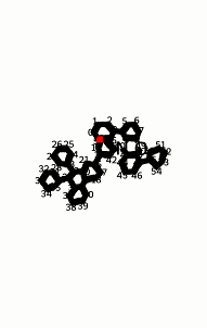 c1ccc(-c2ccccc2N(c2cccc(-c3ccc4c(c3)c(-c3ccccc3)c(-c3ccccc3)c3ccccc34)c2)c2cccc3c2oc2ccccc23)cc1